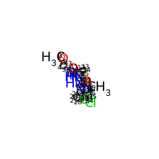 COc1cccc(-c2nnc(-c3ccccc3NC(=S)NC3N=C(c4ccccc4Cl)c4cc(Cl)ccc4N(C)C3=O)o2)c1